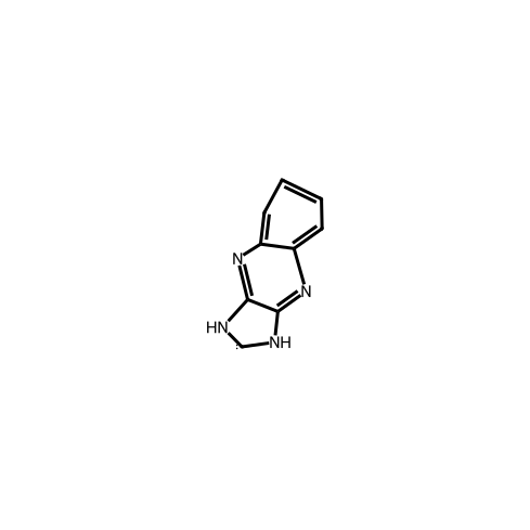 [C]1Nc2nc3ccccc3nc2N1